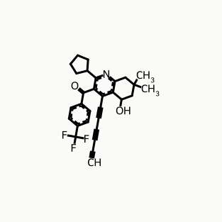 C#CC#CC#Cc1c(C(=O)c2ccc(C(F)(F)F)cc2)c(C2CCCC2)nc2c1C(O)CC(C)(C)C2